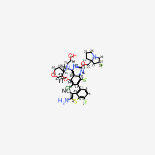 N#Cc1c(N)sc2c(F)ccc(-c3c(Cl)c4c5c(nc(OC[C@@]67CCCN6C[C@H](F)C7)nc5c3F)N(CCO)[C@H]3CCOC[C@@H]3O4)c12